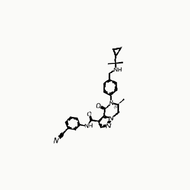 C[C@H]1Cn2ncc(C(=O)Nc3cccc(C#N)c3)c2C(=O)N1c1ccc(CNC(C)(C)C2CC2)cc1